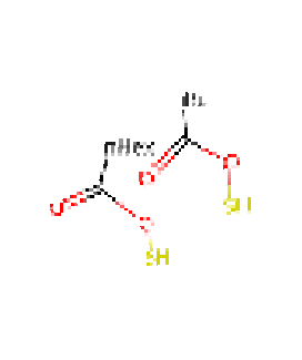 CCC(C)C(=O)OS.CCCCCCC(=O)OS